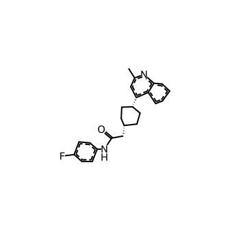 Cc1cc([C@H]2CC[C@@H](CC(=O)Nc3ccc(F)cc3)CC2)c2ccccc2n1